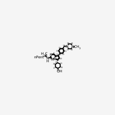 CCCCC[C@H](C)Nc1ncc2c(-c3ccc(CN4CCN(C)CC4)cc3)cc([C@H]3CC[C@H](O)CC3)n2n1